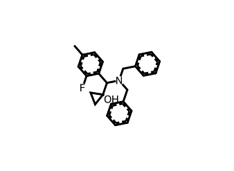 Cc1ccc(C(N(Cc2ccccc2)Cc2ccccc2)C2(O)CC2)c(F)c1